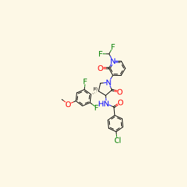 COc1cc(F)c([C@@H]2CN(c3cccn(C(F)F)c3=O)C(=O)C2NC(=O)c2ccc(Cl)cc2)c(F)c1